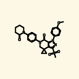 COc1ccc(-n2nc(S(C)(=O)=O)c3c2C(=O)N(c2ccc(N4CCCCC4=O)cc2)CC32CC2)cc1